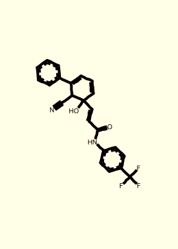 N#CC1C(c2ccccc2)=CC=CC1(O)C=CC(=O)Nc1ccc(C(F)(F)F)cc1